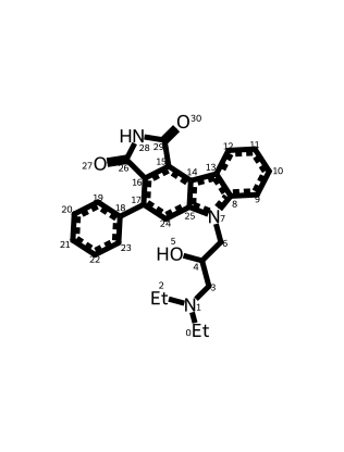 CCN(CC)CC(O)Cn1c2ccccc2c2c3c(c(-c4ccccc4)cc21)C(=O)NC3=O